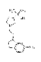 C[N+](C)(C)C1CCN(CCN2CCc3ccc(N)cc32)C1